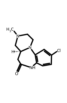 CN1CCN2c3cc(Cl)ccc3NC(=O)C[C@H]2C1